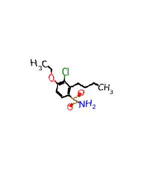 CCCCc1c(S(N)(=O)=O)ccc(OCC)c1Cl